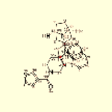 Cc1nc2ccccc2n1[C@H]1C[C@H]2CC[C@@H](C1)N2CCC1(c2ccccc2)CCN(C(=O)c2ccsc2)CC1